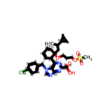 CC(CC1(OCCCOS(C)(=O)=O)C=CC=CC1c1nc(C(=O)O)nc2ncn(Cc3ccc(Cl)cc3)c12)C1CC1